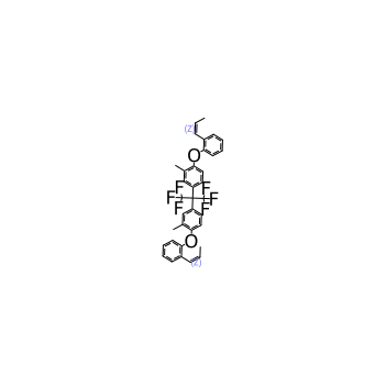 C/C=C\c1ccccc1Oc1ccc(C(c2ccc(Oc3ccccc3/C=C\C)c(C)c2)(C(F)(F)F)C(F)(F)F)cc1C